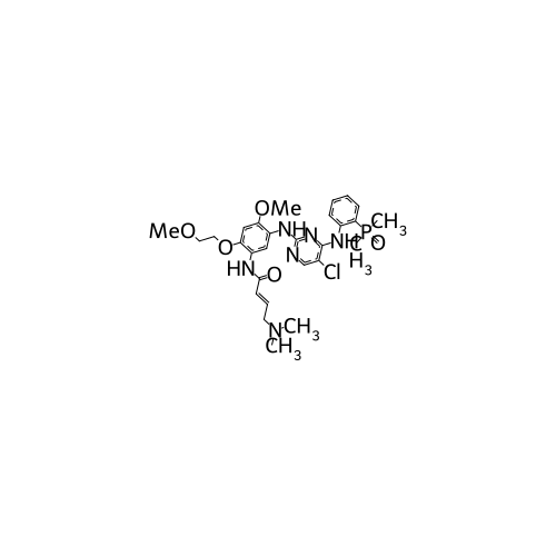 COCCOc1cc(OC)c(Nc2ncc(Cl)c(Nc3ccccc3P(C)(C)=O)n2)cc1NC(=O)C=CCN(C)C